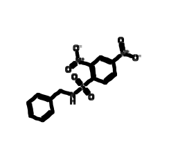 O=[N+]([O-])c1ccc(S(=O)(=O)NCc2ccccc2)c([N+](=O)[O-])c1